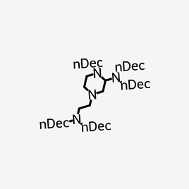 CCCCCCCCCCN(CCCCCCCCCC)CCN1CCN(CCCCCCCCCC)C(N(CCCCCCCCCC)CCCCCCCCCC)C1